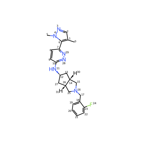 Cc1cnn(C)c1-c1ccc(N[C@H]2C[C@@H]3CN(Cc4ccccc4F)C[C@@H]3C2)nn1